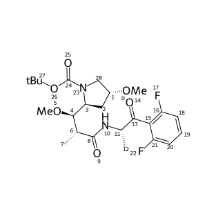 CO[C@@H]1C[C@@H]([C@H](OC)[C@@H](C)C(=O)N[C@@H](C)C(=O)c2c(F)cccc2F)N(C(=O)OC(C)(C)C)C1